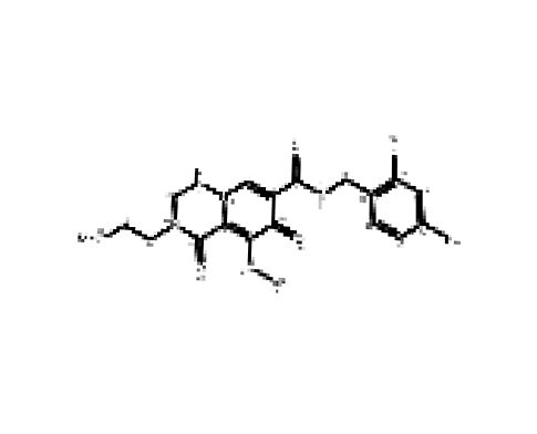 CCCCOc1c2n(cc(C(=O)NCc3ccc(F)cc3F)c1=O)NCN(CCOC)C2=O